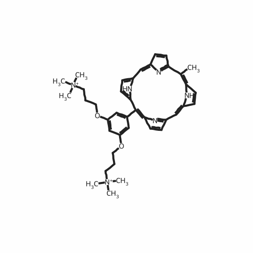 Cc1c2nc(cc3ccc([nH]3)c(-c3cc(OCCC[N+](C)(C)C)cc(OCCC[N+](C)(C)C)c3)c3nc(cc4ccc1[nH]4)C=C3)C=C2